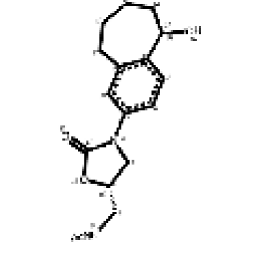 CC(=O)NC[C@H]1CN(c2ccc3c(c2)CCCC[C@H]3O)C(=O)O1